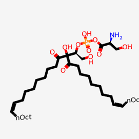 CCCCCCCC/C=C\CCCCCCCC(=O)C(O)(C(=O)CCCCCCC/C=C\CCCCCCCC)[C@H](CO)OP(=O)(O)OC(=O)[C@@H](N)CO